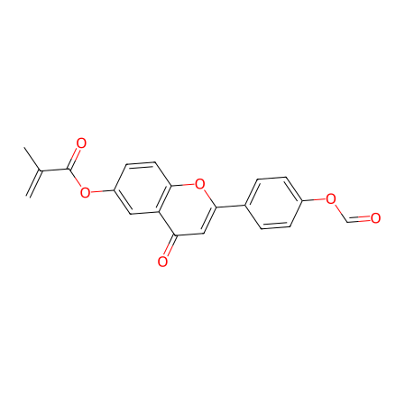 C=C(C)C(=O)Oc1ccc2oc(-c3ccc(OC=O)cc3)cc(=O)c2c1